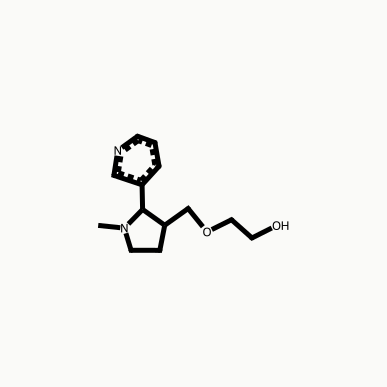 CN1CCC(COCCO)C1c1cccnc1